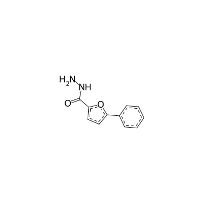 NNC(=O)c1ccc(-c2ccccc2)o1